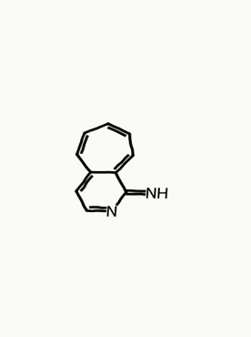 N=c1nccc2cccccc1-2